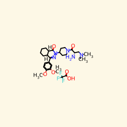 COc1ccc(C2=NN(C3CCN(C(=O)[C@@H](N)CN(C)C)CC3)C(=O)[C@@H]3CCCC[C@H]23)cc1OC.O=C(O)C(F)(F)F